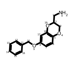 NCC1COc2ccc(OCc3ccccc3)cc2O1